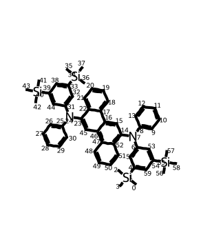 C[Si](C)(C)c1cc(N(c2ccccc2)c2cc3c4ccccc4c(N(c4ccccc4)c4cc([Si](C)(C)C)cc([Si](C)(C)C)c4)cc3c3ccccc23)cc([Si](C)(C)C)c1